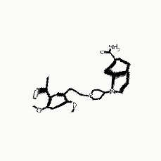 COc1cc(OC)c(C(C)=O)cc1CCN1CCC(n2ccc3ccc(C(N)=O)cc32)CC1